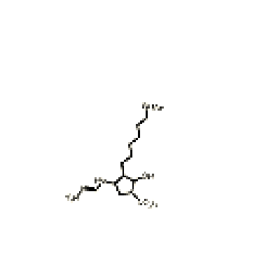 CC(=O)NCCCCCCC1C(NC=NN)CC(C(=O)O)C1O